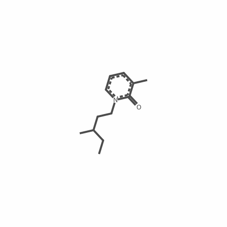 CCC(C)CCn1cccc(C)c1=O